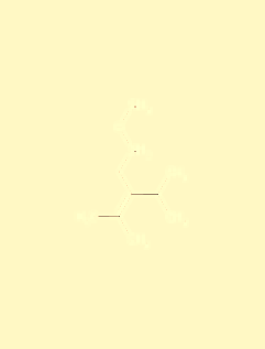 CC(C)=C(C[SiH2]O[SiH3])C(C)C